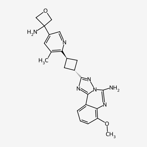 COc1cccc2c1nc(N)n1nc([C@H]3C[C@H](c4ncc(C5(N)COC5)cc4C)C3)nc21